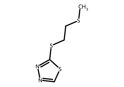 CSCCSc1nncs1